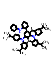 CC(C)c1ccc(N2c3cc(C(C)C)ccc3B3c4ccc(C(C)C)cc4N4c5ccc(C(C)C)cc5Bc5c(-c6ccccc6Nc6ccccc6)cc2c3c54)cc1